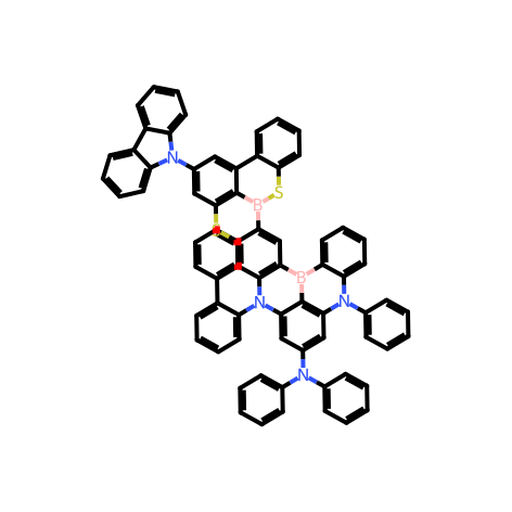 c1ccc(-c2ccccc2N2c3cc4c(cc3B3c5ccccc5N(c5ccccc5)c5cc(N(c6ccccc6)c6ccccc6)cc2c53)B2Sc3ccccc3-c3cc(-n5c6ccccc6c6ccccc65)cc(c32)S4)cc1